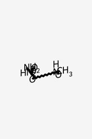 CC(=O)NCCCCCCCCCCCC(=O)SCC(NCCN)OC=O